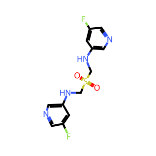 O=S(=O)(CNc1cncc(F)c1)CNc1cncc(F)c1